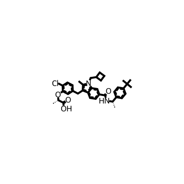 Cc1c(Cc2ccc(Cl)c(O[C@@H](C)C(=O)O)c2)c2ccc(C(=O)N[C@@H](C)c3ccc(C(C)(C)C)cc3)cc2n1CC1CCC1